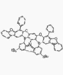 CC(C)(C)c1cc2c3c(c1)c1cc(C(C)(C)C)cc4c1n3-c1c3c(cc5c1B4c1cc4c(oc6ccccc64)c(-c4ccccc4)c1O5)Oc1c(cc4c(oc5ccccc54)c1-c1ccccc1)B32